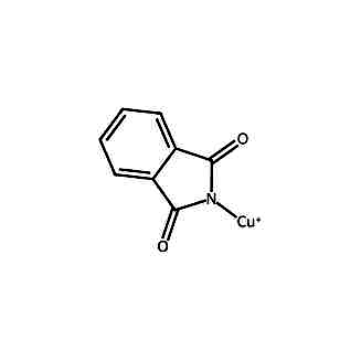 O=C1c2ccccc2C(=O)[N]1[Cu+]